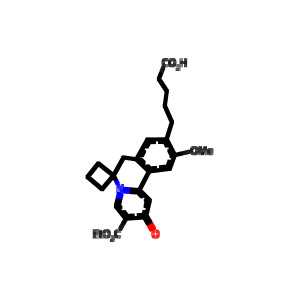 CCOC(=O)c1cn2c(cc1=O)-c1cc(OC)c(CCCCC(=O)O)cc1CC21CCC1